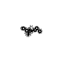 [2H]C([2H])([2H])Oc1ccc(C2(C)CCOCC2)cc1S(=O)(=O)NC(=O)c1ccc2c(-c3ccccn3)cccc2n1